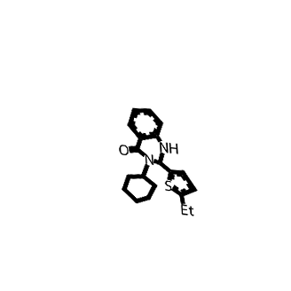 CCc1ccc(C2Nc3ccccc3C(=O)N2C2CCCCC2)s1